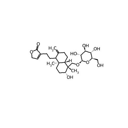 C=C1CC[C@@H]2[C@](C)(CO[C@@H]3O[C@H](CO)[C@@H](O)[C@H](O)[C@H]3O)[C@H](O)CC[C@@]2(C)C1CCC1=CCOC1=O